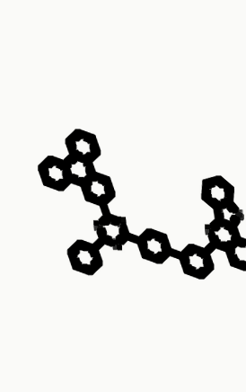 c1ccc(-c2nc(-c3ccc(-c4cccc(-c5nc6c7ccccc7sc6c6ccccc56)c4)cc3)nc(-c3ccc4c5ccccc5c5ccccc5c4c3)n2)cc1